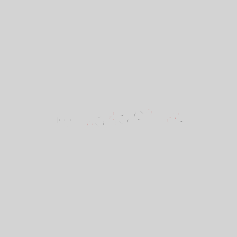 C=CC(=O)OCCCCOc1ccc(-c2ccc(OC(=O)c3ccc(OCCCC(=O)O)cc3)cc2)cc1